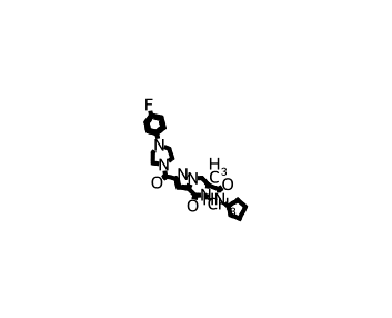 CN1C(=O)c2cc(C(=O)N3CCN(c4ccc(F)cc4)CC3)nn2CC1(C)C(=O)NC1CCCC1